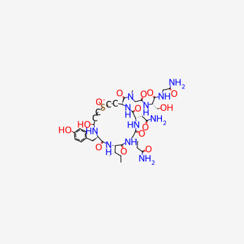 CC[C@H](C)[C@@H]1NC(=O)[C@@H](Cc2ccc(O)cc2)NC(O)CC[S+]([O-])CC[C@@H](C(=O)N(C)CC(=O)N[C@@H](CO)C(=O)NCC(N)=O)NC(=O)[C@H](CC(N)=O)NC(=O)[C@H](CCC(N)=O)NC1=O